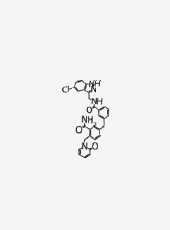 NC(=O)c1cc(Cc2cccc(C(=O)NCc3n[nH]c4ccc(Cl)cc34)c2)ccc1Cn1ccccc1=O